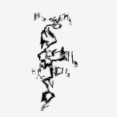 C=C(/C=C\c1nc(CC)c(N(C)c2nc(-c3ccc(F)cc3)cs2)n1C)N1CCN(CC(=O)N(C)C)CC1